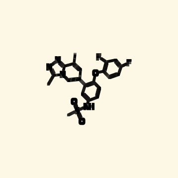 Cc1cc(-c2cc(NS(C)(=O)=O)ccc2Oc2ccc(F)cc2F)cn2c(C)nnc12